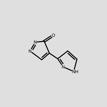 O=C1N=NC=C1c1cc[nH]n1